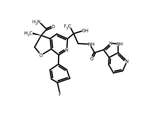 C[C@]1(C(N)=O)COc2c1cc(C(O)(CNC(=O)c1n[nH]c3ncccc13)C(F)(F)F)nc2-c1ccc(F)cc1